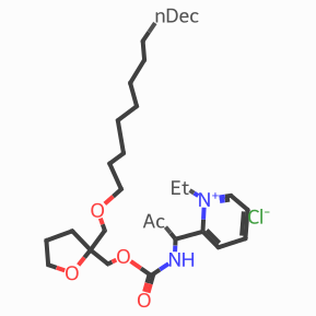 CCCCCCCCCCCCCCCCCCOCC1(COC(=O)NC(C(C)=O)c2cccc[n+]2CC)CCCO1.[Cl-]